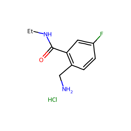 CCNC(=O)c1cc(F)ccc1CN.Cl